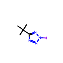 CC(C)(C)c1nnn(I)n1